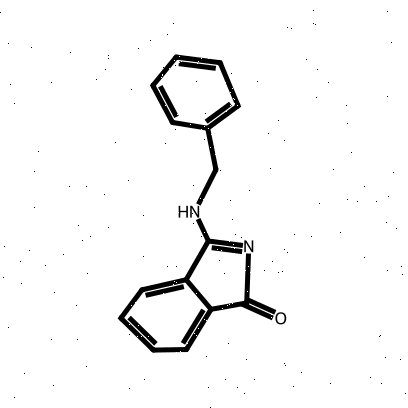 O=C1N=C(NCc2ccccc2)c2ccccc21